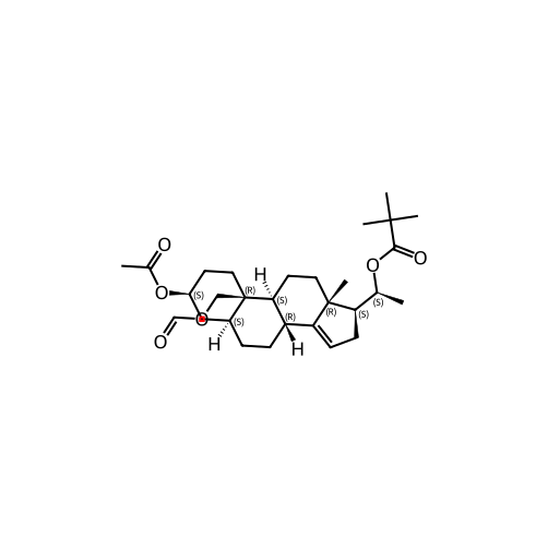 CC(=O)O[C@H]1CC[C@@]2(COC=O)[C@@H](CC[C@H]3C4=CC[C@H]([C@H](C)OC(=O)C(C)(C)C)[C@@]4(C)CC[C@@H]32)C1